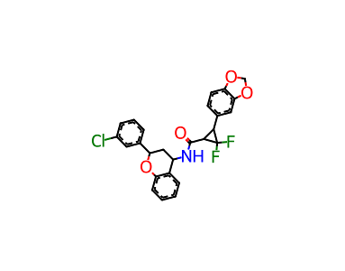 O=C(NC1CC(c2cccc(Cl)c2)Oc2ccccc21)C1C(c2ccc3c(c2)OCO3)C1(F)F